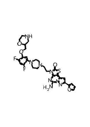 Nc1nc2c(sc(=O)n2CCN2CCN(c3cc(OCC4CNCCO4)c(F)cc3F)CC2)c2cc(-c3ccco3)nn12